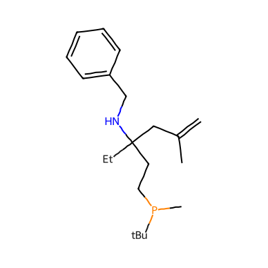 C=C(C)CC(CC)(CCP(C)C(C)(C)C)NCc1ccccc1